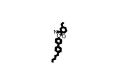 CCCCCc1ccc(-c2ccc(OC(=O)C3(C#N)CCCC(CC)C3)cc2)cc1